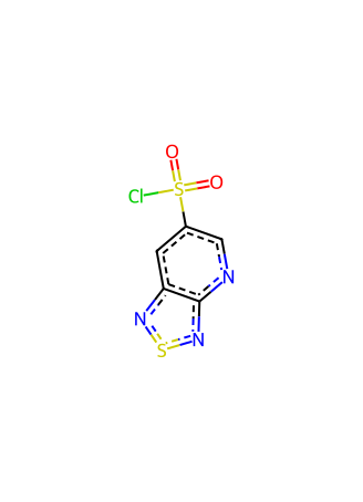 O=S(=O)(Cl)c1cnc2nsnc2c1